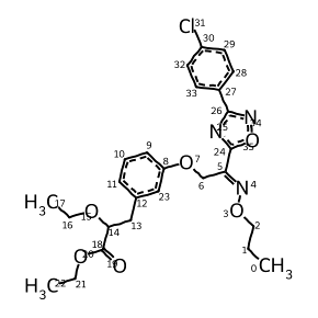 CCCO/N=C(\COc1cccc(CC(OCC)C(=O)OCC)c1)c1nc(-c2ccc(Cl)cc2)no1